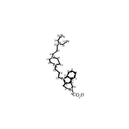 CCOC(=O)N1CCc2c(c3ccccc3n2CCCN2CCN(CCCN(CC(C)C)CC(C)C)CC2)C1